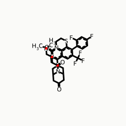 CN(C)CC=CC(=O)N1C2CC(=O)CC1CN(c1nc(=O)n3c4c(c(-c5ccc(F)cc5F)c(C(F)(F)F)cc14)SCC3)C2